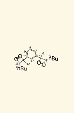 CCCCC1OOC1(C)c1cccc(C2(C)OOC2CCCC)c1